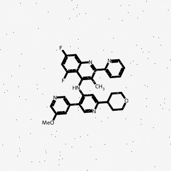 COc1cncc(-c2cnc(C3CCOCC3)cc2Nc2c(C)c(-c3ccccn3)nc3cc(F)cc(F)c23)c1